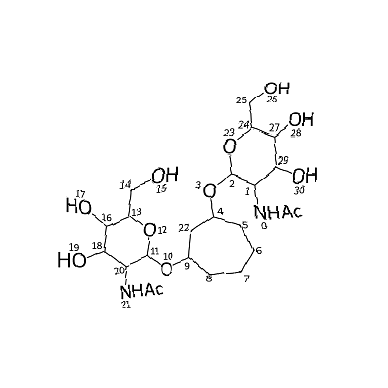 CC(=O)NC1C(OC2CCCCC(OC3OC(CO)C(O)C(O)C3NC(C)=O)C2)OC(CO)C(O)C1O